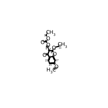 CCOC(=O)O/N=C(\C(=O)OCC)C(=O)c1ccc(OC)cc1